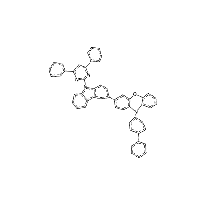 c1ccc(-c2ccc(N3c4ccccc4Oc4cc(-c5ccc6c(c5)c5ccccc5n6-c5nc(-c6ccccc6)cc(-c6ccccc6)n5)ccc43)cc2)cc1